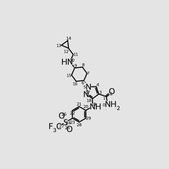 NC(=O)c1cn([C@H]2CC[C@H](NCC3CC3)CC2)nc1Nc1ccc(S(=O)(=O)C(F)(F)F)cc1